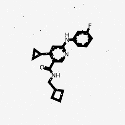 O=C(NCC1CCC1)c1cnc(Nc2cccc(F)c2)cc1C1CC1